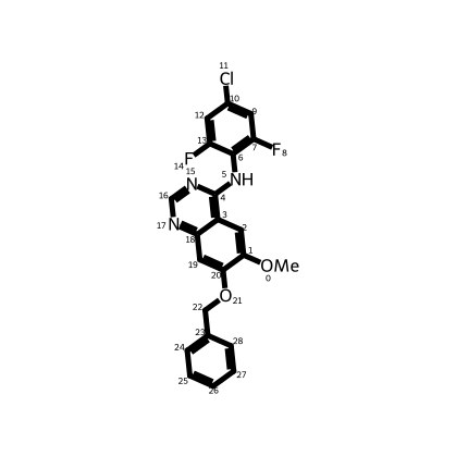 COc1cc2c(Nc3c(F)cc(Cl)cc3F)ncnc2cc1OCc1ccccc1